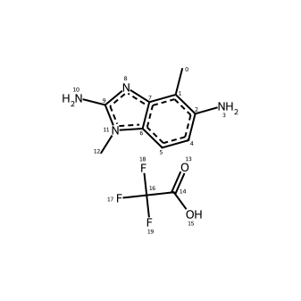 Cc1c(N)ccc2c1nc(N)n2C.O=C(O)C(F)(F)F